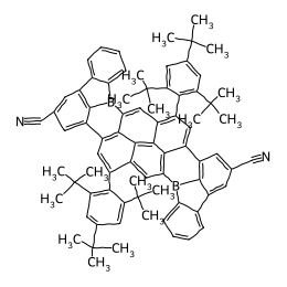 CC(C)(C)c1cc(C(C)(C)C)c(-c2cc3c4c(cc5c(-c6c(C(C)(C)C)cc(C(C)(C)C)cc6C(C)(C)C)cc6c7c(cc2c4c57)B2c4ccccc4-c4cc(C#N)cc-6c42)B2c4ccccc4-c4cc(C#N)cc-3c42)c(C(C)(C)C)c1